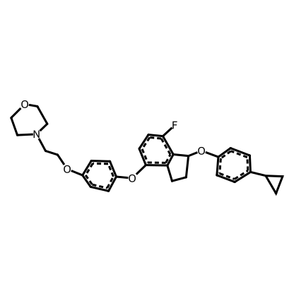 Fc1ccc(Oc2ccc(OCCN3CCOCC3)cc2)c2c1C(Oc1ccc(C3CC3)cc1)CC2